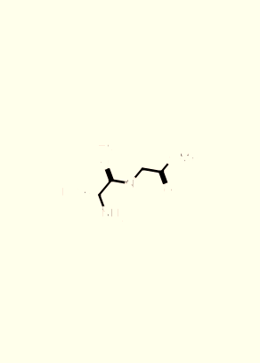 COC(=O)CNC(=O)[C@@H](C)N.Cl